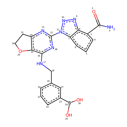 NC(=O)c1cccc2c1nnn2-c1nc2c(c(NCc3cccc(B(O)O)c3)n1)OCC2